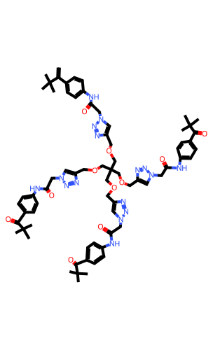 C=C(c1ccc(NC(=O)Cn2cc(COCC(COCc3cn(CC(=O)Nc4ccc(C(=O)C(C)(C)C)cc4)nn3)(COCc3cn(CC(=O)Nc4ccc(C(=O)C(C)(C)C)cc4)nn3)COCc3cn(CC(=O)Nc4ccc(C(=O)C(C)(C)C)cc4)nn3)nn2)cc1)C(C)(C)C